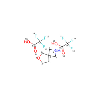 C1CC2(CNC2)CO1.O=C(O)C(F)(F)F.O=C(O)C(F)(F)F